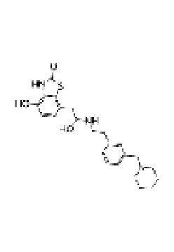 O=c1[nH]c2c(O)ccc(CC(O)NCCc3cccc(CN4CCCCC4)c3)c2s1